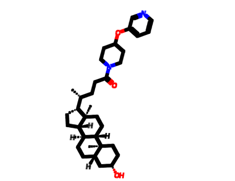 C[C@H](CCC(=O)N1CCC(Oc2cccnc2)CC1)[C@H]1CC[C@H]2[C@@H]3CC[C@H]4C[C@@H](O)CC[C@]4(C)[C@H]3CC[C@]12C